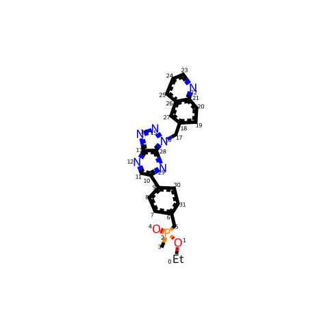 CCOP(C)(=O)Cc1ccc(-c2cnc3nnn(Cc4ccc5ncccc5c4)c3n2)cc1